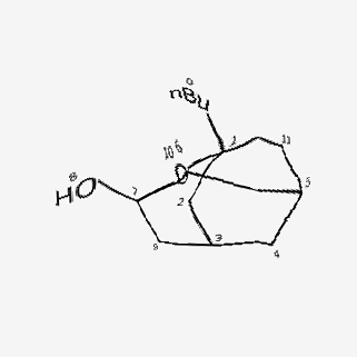 CCCCC12CC3CC(CC(O)(C3)O1)C2